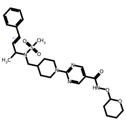 CC(/C=C/c1ccccc1)N(CC1CCN(c2ncc(C(=O)NOC3CCCCO3)cn2)CC1)S(C)(=O)=O